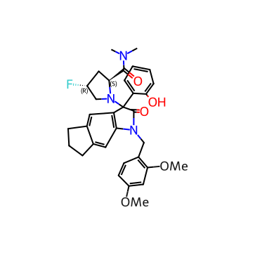 COc1ccc(CN2C(=O)C(c3ccccc3O)(N3C[C@H](F)C[C@H]3C(=O)N(C)C)c3cc4c(cc32)CCC4)c(OC)c1